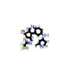 Cc1cc(Nc2ccc3ncc4c(c3c2)-c2cnc(C(F)(F)F)nc2C4=O)ccn1